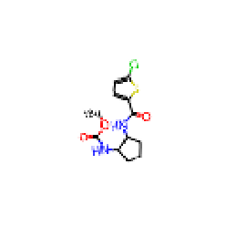 CC(C)(C)OC(=O)NC1CCCC1NC(=O)c1ccc(Cl)s1